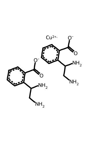 NCC(N)c1ccccc1C(=O)[O-].NCC(N)c1ccccc1C(=O)[O-].[Cu+2]